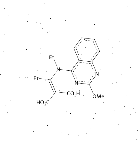 CCC(=C(C(=O)O)C(=O)O)N(CC)c1nc(OC)nc2ccccc12